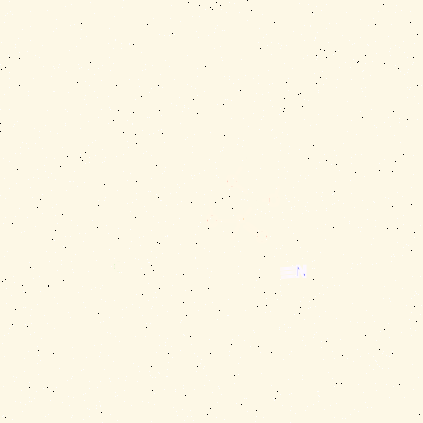 CCOC(OCC)P(=O)(OCC)C(CC#N)c1ccc(Cl)cc1